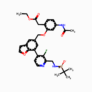 CCOC(=O)Cc1ccc(NC(C)=O)cc1OCc1cc(-c2ccnc(CN[S@@+]([O-])C(C)(C)C)c2F)c2occc2c1